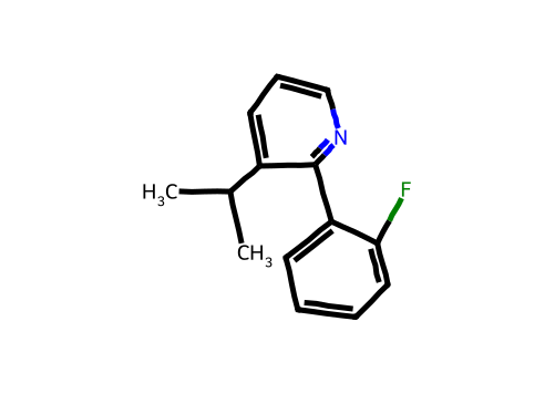 CC(C)c1cccnc1-c1ccccc1F